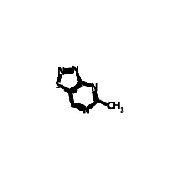 Cc1ncc2snnc2n1